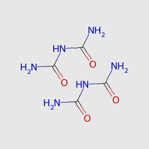 NC(=O)NC(N)=O.NC(=O)NC(N)=O